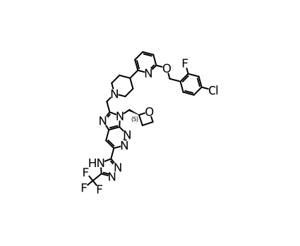 Fc1cc(Cl)ccc1COc1cccc(C2CCN(Cc3nc4cc(-c5nnc(C(F)(F)F)[nH]5)nnc4n3C[C@@H]3CCO3)CC2)n1